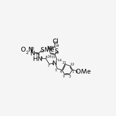 COc1ccc(CN(CCN/C(=N/[N+](=O)[O-])SC)Cc2cnc(Cl)s2)cc1